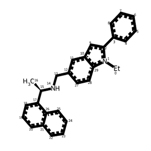 CCn1c(-c2ccccc2)cc2cc(CN[C@H](C)c3cccc4ccccc34)ccc21